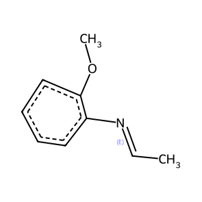 C/C=N/c1ccccc1OC